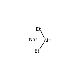 C[CH2][Al-][CH2]C.[Na+]